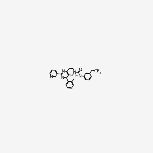 Cc1ccccc1-c1nc(-c2cccnc2)nc2c1CN(C(=O)Nc1cccc(CC(F)(F)F)c1)CC2